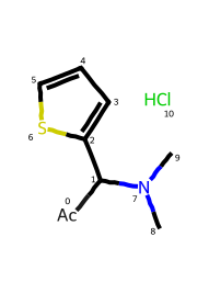 CC(=O)C(c1cccs1)N(C)C.Cl